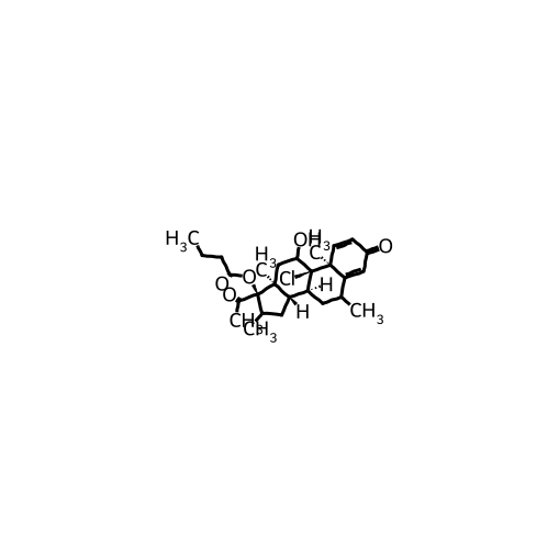 CCCC(=O)O[C@]1(C(C)=O)C(C)C[C@H]2[C@@H]3CC(C)C4=CC(=O)C=C[C@]4(C)[C@@]3(Cl)C(O)C[C@@]21C